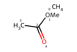 C.COC(C)=O